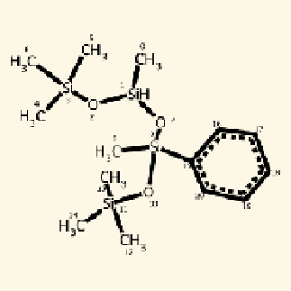 C[SiH](O[Si](C)(C)C)O[Si](C)(O[Si](C)(C)C)c1ccccc1